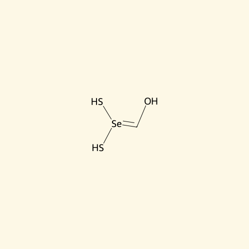 OC=[Se](S)S